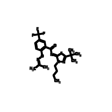 CCCCn1nc(C(C)(C)C)s/c1=N\C(=O)c1cc(C(F)(F)F)ccc1ON=C(C)C